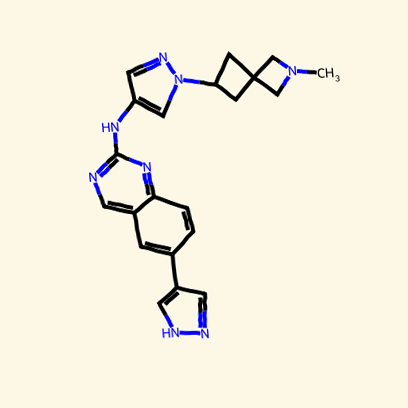 CN1CC2(CC(n3cc(Nc4ncc5cc(-c6cn[nH]c6)ccc5n4)cn3)C2)C1